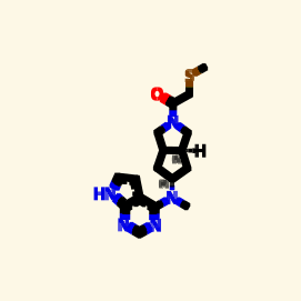 CSCC(=O)N1CC2C[C@@H](N(C)c3ncnc4[nH]ccc34)C[C@@H]2C1